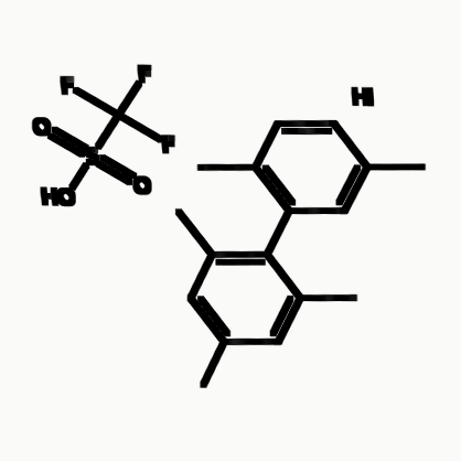 Cc1cc(C)c(-c2cc(C)ccc2C)c(C)c1.I.O=S(=O)(O)C(F)(F)F